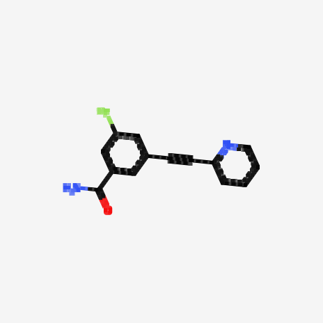 NC(=O)c1cc([18F])cc(C#Cc2ccccn2)c1